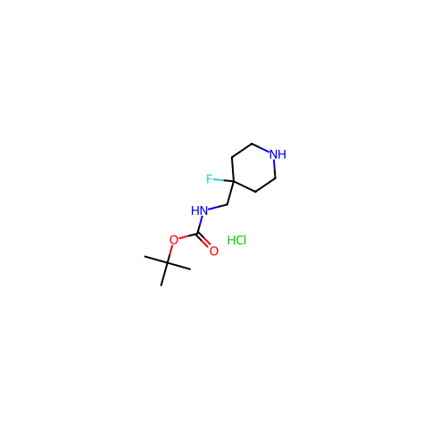 CC(C)(C)OC(=O)NCC1(F)CCNCC1.Cl